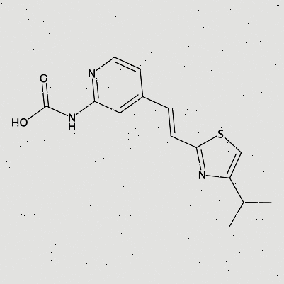 CC(C)c1csc(C=Cc2ccnc(NC(=O)O)c2)n1